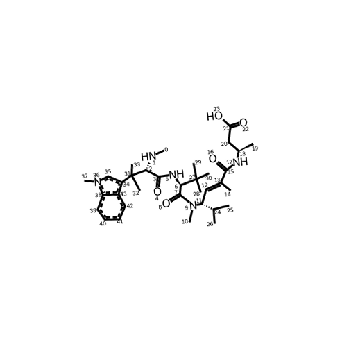 CN[C@H](C(=O)N[C@H](C(=O)N(C)[C@H](/C=C(\C)C(=O)N[C@H](C)CC(=O)O)C(C)C)C(C)(C)C)C(C)(C)c1cn(C)c2ccccc12